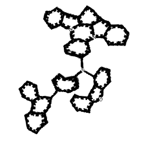 c1ccc2c(c1)cc(-c1ccc(N(c3ccc4c(c3)n3c5ccccc5c5ccc6c7ccccc7n4c6c53)c3cccc4oc5ccccc5c34)cc1)c1ccccc12